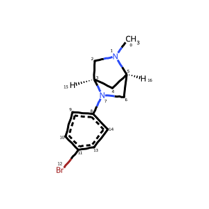 CN1C[C@H]2C[C@@H]1CN2c1ccc(Br)cc1